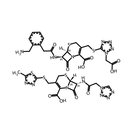 Cc1nnc(SCC2=C(C(=O)O)N3C(=O)[C@@H](NC(=O)Cn4cnnn4)[C@H]3SC2)s1.NCc1ccccc1CC(=O)N[C@@H]1C(=O)N2C(C(=O)O)=C(CSc3nnnn3CC(=O)O)CS[C@H]12